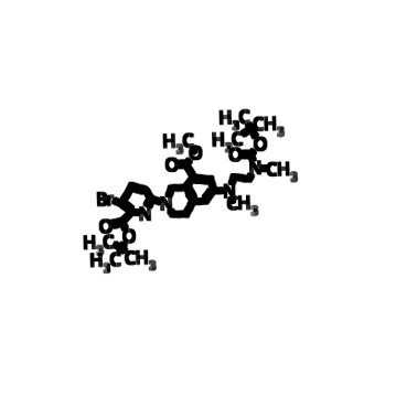 COC(=O)c1cc(N(C)CCN(C)C(=O)OC(C)(C)C)cc2c1CN(c1ccc(Br)c(C(=O)OC(C)(C)C)n1)CC2